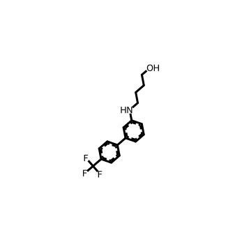 OCCCCNc1cccc(-c2ccc(C(F)(F)F)cc2)c1